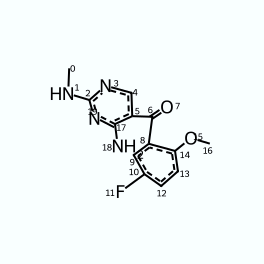 CNc1ncc(C(=O)c2cc(F)ccc2OC)c(N)n1